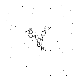 C=CC(=O)N1CCN(c2nc(CC(OCC)N(CC)CC)nc3c2CCN(c2c(C)ccc4[nH]ncc24)C3)CC1